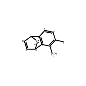 CCCc1c(C)ccc2c1C1C=CC2O1